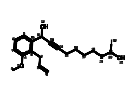 C=CCc1c(OC)cccc1C(O)C#CCCCCSB(O)I